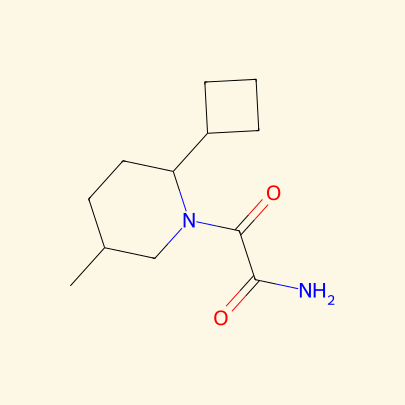 CC1CCC(C2CCC2)N(C(=O)C(N)=O)C1